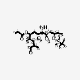 CCC(=O)OC(CC[C@H](N)[C@H](CC(CC)O[Si](C)(C)C(C)(C)C)OC)C(C)[C@H](OC)C(C)C=O